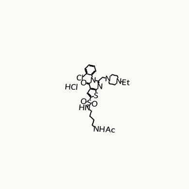 CCN1CCN(Cc2nc3sc(S(=O)(=O)NCCCCNC(C)=O)cc3c(=O)n2-c2ccccc2Cl)CC1.Cl